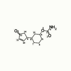 NC(=O)OC1CCCC(C2C=CC(=O)C2)C1